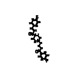 O=C(CCCN1CCC(C(=O)C=Cc2ccc(F)cc2)CC1)c1ccc(F)cc1